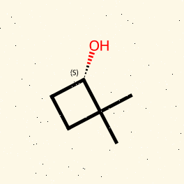 CC1(C)CC[C@@H]1O